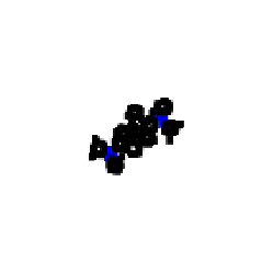 Cc1cc(C)cc(N(c2ccc3c4c(ccc3c2)-c2c(c3ccc(N(c5cc(C)cc(C)c5)c5ccccc5C)cc3c3ccccc23)C4(c2ccccc2)c2ccccc2)c2ccccc2C)c1